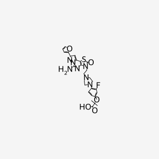 CC(C)(Oc1ccc(N2CCN(CCn3c(=O)sc4c3nc(N)n3nc(-c5ccco5)cc43)CC2)c(F)c1)C(=O)O